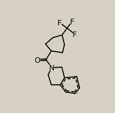 O=C(C1CCC(C(F)(F)F)CC1)N1CCc2c[c]ccc2C1